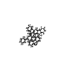 CC1(C)c2ccccc2-c2cc3c(c(N(c4ccc(-c5ccccc5)cc4)c4cccc5oc6ccccc6c45)c21)C(C)(C)c1ccccc1-3